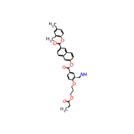 C=CC(=O)OCCCOc1ccc(C(=O)Oc2ccc3cc(C(=O)Oc4ccc(C)cc4C)ccc3c2)cc1C=N